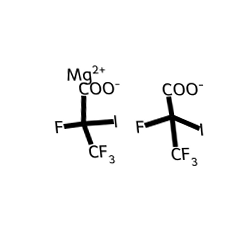 O=C([O-])C(F)(I)C(F)(F)F.O=C([O-])C(F)(I)C(F)(F)F.[Mg+2]